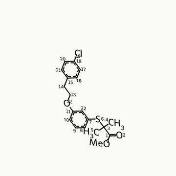 COC(=O)C(C)(C)Sc1cccc(OCCc2ccc(Cl)cc2)c1